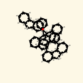 c1ccc(-c2c3ccccc3c(-c3cccc4sc5cccc(-c6c7ccccc7c(-c7ccc8c(c7)sc7ccccc78)c7ccccc67)c5c34)c3ccccc23)cc1